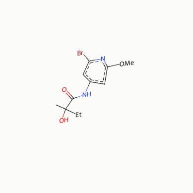 CCC(C)(O)C(=O)Nc1cc(Br)nc(OC)c1